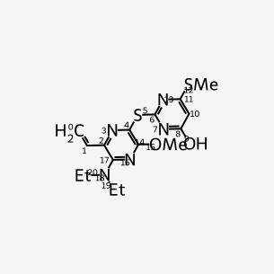 C=Cc1nc(Sc2nc(O)cc(SC)n2)c(OC)nc1N(CC)CC